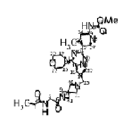 C=CC(=O)NCC(=O)N1CC2(CN(Cc3cc4c(N5CCOCC5)nc(-c5cnc(NC(=O)OC)cc5C)nn4c3)C2)C1